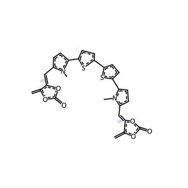 C=c1oc(=O)o/c1=C\c1ccc(-c2ccc(-c3ccc(-c4ccc(/C=c5\oc(=O)oc5=C)n4C)s3)s2)n1C